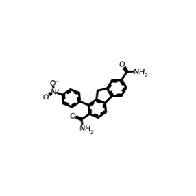 NC(=O)c1ccc2c(c1)Cc1c-2ccc(C(N)=O)c1-c1ccc([N+](=O)[O-])cc1